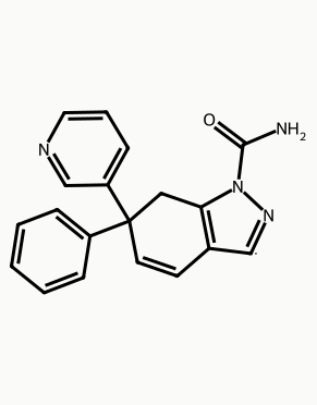 NC(=O)n1n[c]c2c1CC(c1ccccc1)(c1cccnc1)C=C2